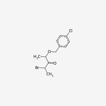 CC(Br)C(=O)C(C)OCc1ccc(Cl)cc1